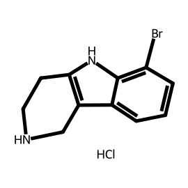 Brc1cccc2c3c([nH]c12)CCNC3.Cl